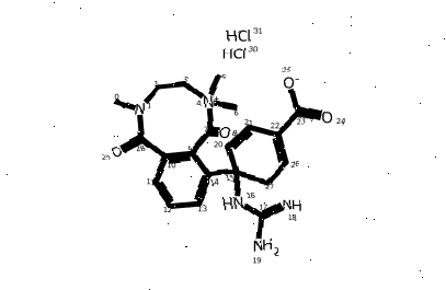 CN1CC[N+](C)(C)C(=O)c2c(cccc2C2(NC(=N)N)C=CC(C(=O)[O-])=CC2)C1=O.Cl.Cl